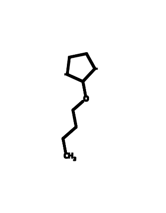 CCCCOC1[CH]CC[CH]1